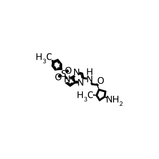 Cc1ccc(S(=O)(=O)n2ccc3nc(NCC(=O)[C@H]4C[C@@H](N)C[C@H]4C)cnc32)cc1